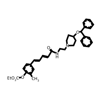 CCOC(=O)Oc1ccc(/C=C/C=C/C(=O)NCCN2CCC(OC(c3ccccc3)c3ccccc3)CC2)cc1C